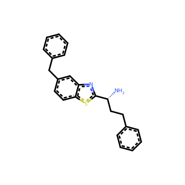 N[C@H](CCc1ccccc1)c1nc2cc(Cc3ccccc3)ccc2s1